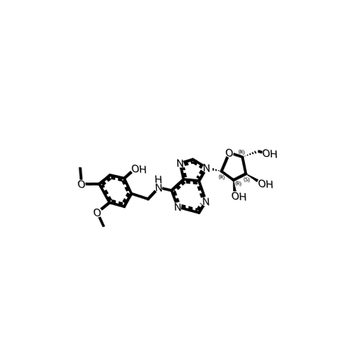 COc1cc(O)c(CNc2ncnc3c2ncn3[C@@H]2O[C@H](CO)[C@@H](O)[C@H]2O)cc1OC